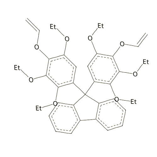 C=COc1c(OCC)cc(C2(c3cc(OCC)c(OC=C)c(OCC)c3OCC)c3ccccc3-c3ccccc32)c(OCC)c1OCC